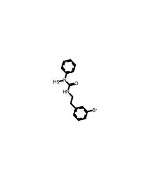 O=C(NCCc1cccc(Br)c1)N(S)c1cc[c]cc1